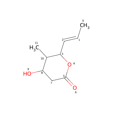 CC=CC1OC(=O)CC(O)C1C